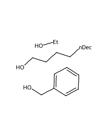 CCCCCCCCCCCCCCO.CCO.OCc1ccccc1